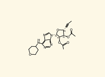 CC#C[C@H]1O[C@@H](n2cnc3c(NC4CCOCC4)ncnc32)[C@H](OC(C)=O)[C@@H]1OC(C)=O